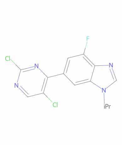 CC(C)n1cnc2c(F)cc(-c3nc(Cl)ncc3Cl)cc21